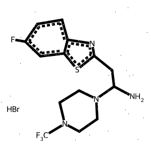 Br.NC(Cc1nc2ccc(F)cc2s1)N1CCN(C(F)(F)F)CC1